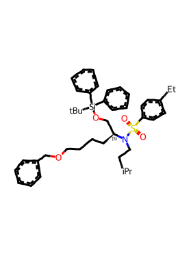 CCc1ccc(S(=O)(=O)N(CCC(C)C)[C@@H](CCCCOCc2ccccc2)CO[Si](c2ccccc2)(c2ccccc2)C(C)(C)C)cc1